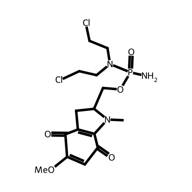 COC1=CC(=O)C2=C(CC(COP(N)(=O)N(CCCl)CCCl)N2C)C1=O